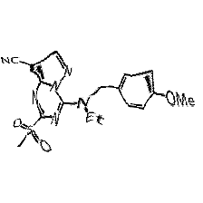 CCN(Cc1ccc(OC)cc1)c1nc(S(C)(=O)=O)nc2c(C#N)cnn12